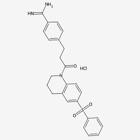 Cl.N=C(N)c1ccc(CCC(=O)N2CCCc3cc(S(=O)(=O)c4ccccc4)ccc32)cc1